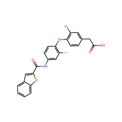 O=C(O)Cc1ccc(Oc2ccc(NC(=O)c3cc4ccccc4o3)cc2F)c(Cl)c1